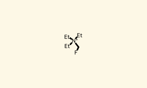 CC[N+](CC)(CC)CF